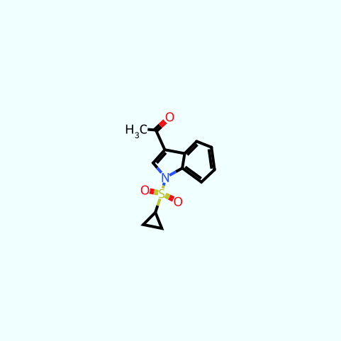 CC(=O)c1cn(S(=O)(=O)C2CC2)c2ccccc12